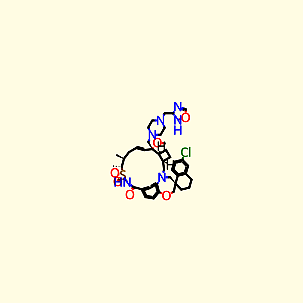 CO[C@@]1(CN2CCN(CC3N=CON3)CC2)/C=C/C[C@H](C)[C@@H](C)S(=O)(=O)NC(=O)c2ccc3c(c2)N(C[C@@H]2CC[C@H]21)C[C@@]1(CCCc2cc(Cl)ccc21)CO3